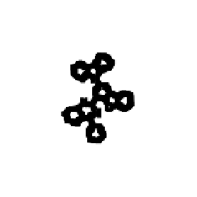 c1ccc(-c2nc(-c3cc(-n4c5ccccc5c5ccccc54)cc4c3oc3ccccc34)nc3ccccc23)cc1